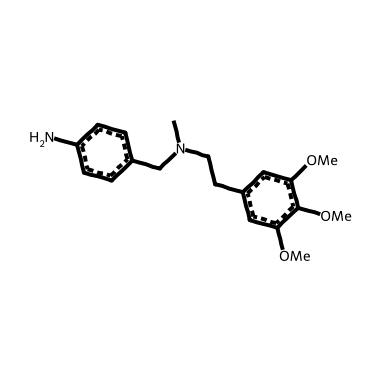 COc1cc(CCN(C)Cc2ccc(N)cc2)cc(OC)c1OC